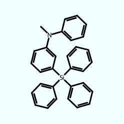 CN(c1ccccc1)c1cccc([Si](c2ccccc2)(c2ccccc2)c2ccccc2)c1